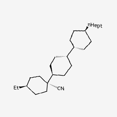 CCCCCCC[C@H]1CC[C@H]([C@H]2CC[C@H]([C@]3(C#N)CC[C@H](CC)CC3)CC2)CC1